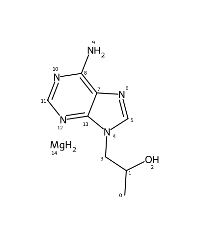 CC(O)Cn1cnc2c(N)ncnc21.[MgH2]